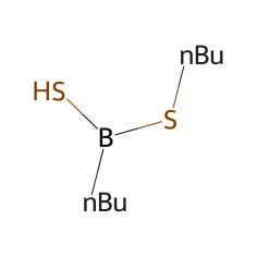 CCCCSB(S)CCCC